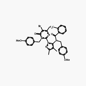 COc1ccc(CN(C(=O)c2ccccc2C(F)(F)F)c2c(C)c(C)nn2-c2nc(C)c(Br)c(=O)n2Cc2ccc(OC)cc2)cc1